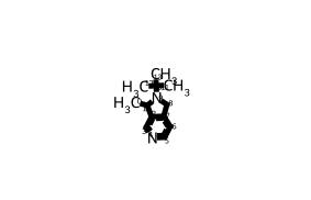 CC1c2cnccc2CN1C(C)(C)C